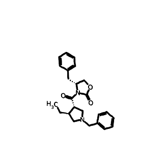 CC[C@@H]1CN(Cc2ccccc2)C[C@H]1C(=O)N1C(=O)OC[C@H]1Cc1ccccc1